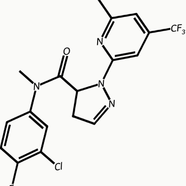 Cc1cc(C(F)(F)F)cc(N2N=CCC2C(=O)N(C)c2ccc(F)c(Cl)c2)n1